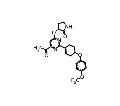 NC(=O)c1cc(O[C@H]2CCNC2=O)nc(C2=CCC(Oc3ccc(OC(F)(F)F)cc3)CC2)n1